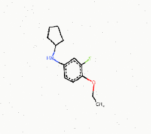 CCOc1ccc(NC2CCCC2)cc1F